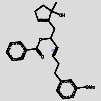 COc1cccc(CC/C=C/C(CC2=CCCC2(C)O)OC(=O)c2ccccc2)c1